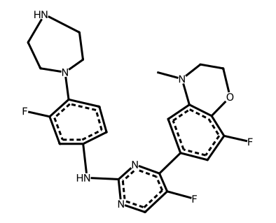 CN1CCOc2c(F)cc(-c3nc(Nc4ccc(N5CCNCC5)c(F)c4)ncc3F)cc21